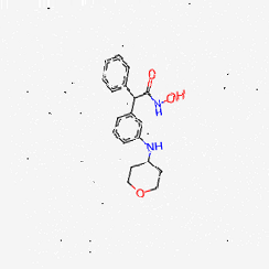 O=C(NO)C(c1ccccc1)c1cccc(NC2CCOCC2)c1